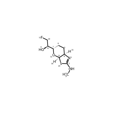 CNC1=N[C@@H]2CC[C@@H]([C@@H](O)CF)O[C@@H]2S1